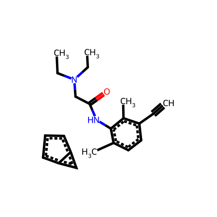 C#Cc1ccc(C)c(NC(=O)CN(CC)CC)c1C.c1cc2cc-2c1